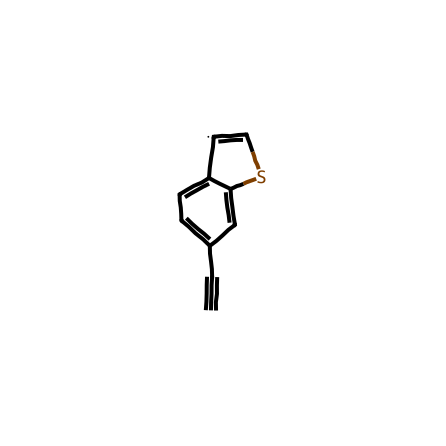 C#Cc1ccc2[c]csc2c1